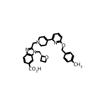 Cc1ccc(COc2cccc(C3=CCN(Cc4nc5ccc(C(=O)O)cc5n4C[C@@H]4CCO4)CC3)n2)cc1